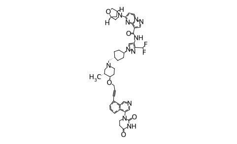 C[C@@H]1CN(C[C@H]2CC[C@H](n3cc(NC(=O)c4cnn5ccc(N6C[C@H]7C[C@@H]6CO7)nc45)c(C(F)F)n3)CC2)CC[C@H]1OCC#Cc1cccc2c(N3CCC(=O)NC3=O)cncc12